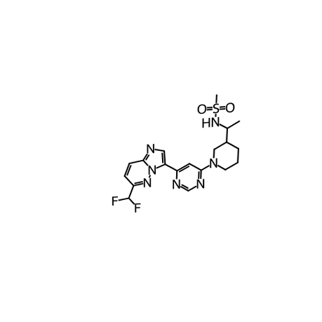 CC(NS(C)(=O)=O)C1CCCN(c2cc(-c3cnc4ccc(C(F)F)nn34)ncn2)C1